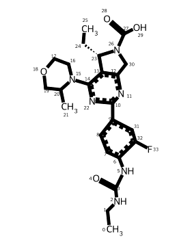 CCNC(=O)Nc1ccc(-c2nc3c(c(N4CCOCC4C)n2)[C@H](CC)N(C(=O)O)C3)cc1F